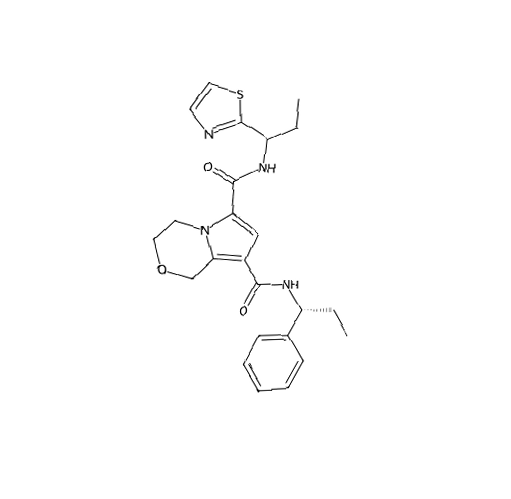 CCC(NC(=O)c1cc(C(=O)N[C@H](CC)c2ccccc2)c2n1CCOC2)c1nccs1